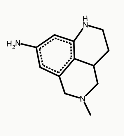 CN1Cc2cc(N)cc3c2C(CCN3)C1